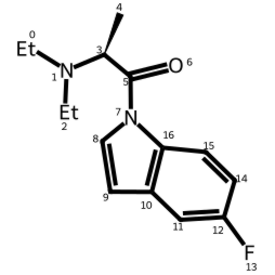 CCN(CC)[C@@H](C)C(=O)n1ccc2cc(F)ccc21